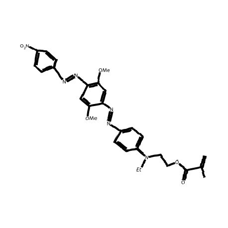 C=C(C)C(=O)OCCN(CC)c1ccc(/N=N/c2cc(OC)c(/N=N/c3ccc([N+](=O)[O-])cc3)cc2OC)cc1